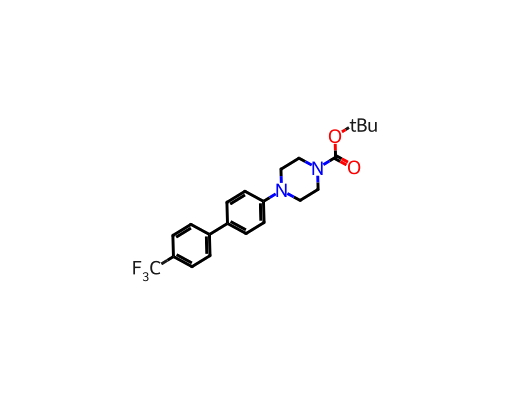 CC(C)(C)OC(=O)N1CCN(c2ccc(-c3ccc(C(F)(F)F)cc3)cc2)CC1